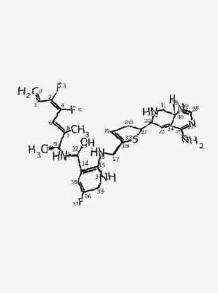 C=C/C(F)=C(F)\C=C(/C)[C@H](C)N[C@@H](O)C1=C(NCC2=CCC(C3C=C4C(N)=NC=N[C@H]4CN3)S2)NCC(F)=C1